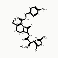 CO/N=C(\C(=O)NC1C(=O)N2C(C(=O)OCc3ccc(OC)cc3)=C(CCl)CSC12)c1nc(N)sc1Cl